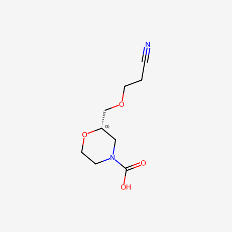 N#CCCOC[C@@H]1CN(C(=O)O)CCO1